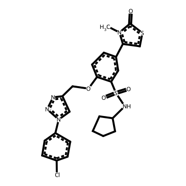 Cn1c(-c2ccc(OCc3cn(-c4ccc(Cl)cc4)nn3)c(S(=O)(=O)NC3CCCC3)c2)csc1=O